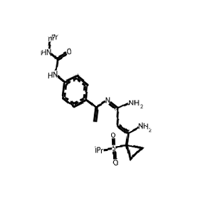 C=C(/N=C(N)\C=C(/N)C1(S(=O)(=O)C(C)C)CC1)c1ccc(NC(=O)NCCC)cc1